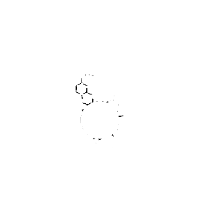 COc1ccc2nc3c(nc2c1)O[C@H]1CN(C(=O)[C@H](C(C)(C)C)NC(=O)O[C@]2(C)C[C@H]2CCCCC3(F)F)[C@H](C(=O)O)[C@@H]1C